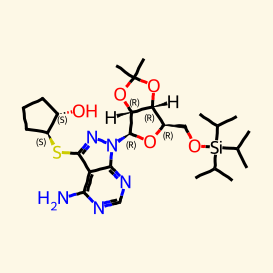 CC(C)[Si](OC[C@H]1O[C@@H](n2nc(S[C@H]3CCC[C@@H]3O)c3c(N)ncnc32)[C@@H]2OC(C)(C)O[C@@H]21)(C(C)C)C(C)C